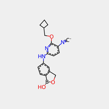 [C-]#[N+]c1ccc(Nc2ccc3c(c2)COB3O)nc1OCC1CCC1